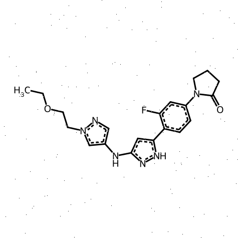 CCOCCn1cc(Nc2cc(-c3ccc(N4CCCC4=O)cc3F)[nH]n2)cn1